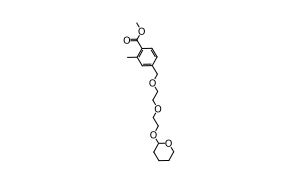 COC(=O)c1ccc(COCCOCCOC2CCCCO2)cc1C